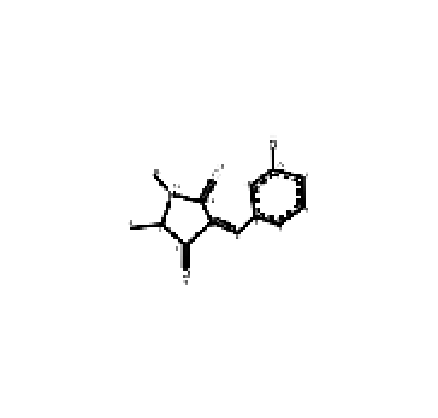 CC1C(=O)C(=Cc2cccc(O)c2)C(=O)N1C